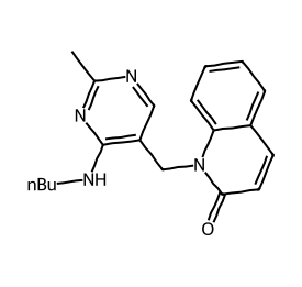 CCCCNc1nc(C)ncc1Cn1c(=O)ccc2ccccc21